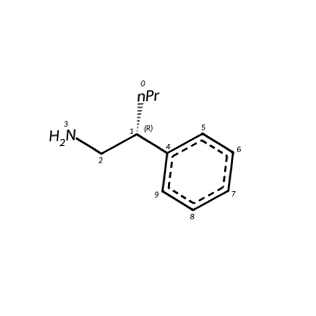 CCC[C@@H](CN)c1ccccc1